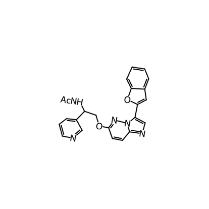 CC(=O)NC(COc1ccc2ncc(-c3cc4ccccc4o3)n2n1)c1cccnc1